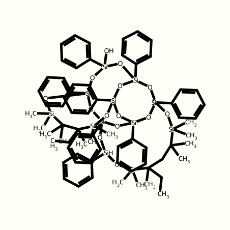 CCC1(C)CC(C)(C)[Si](C)(C)O[Si]2(c3ccccc3)O[Si]3(c4ccccc4)O[Si](O)(c4ccccc4)O[Si]4(c5ccccc5)O[Si](c5ccccc5)(O[SiH](c5ccccc5)O[Si]1(C)C)O[Si](c1ccccc1)(O2)O[Si](c1ccccc1)(O3)O[Si](C)(C)C(C)(CC)C(C)(C)[Si](C)(C)O4